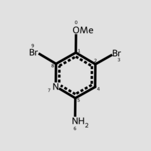 COc1c(Br)cc(N)nc1Br